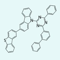 c1ccc(-c2cccc(-c3nc(-c4ccccc4)nc(-n4c5ccccc5c5cc(-c6ccc7sc8ccccc8c7c6)ccc54)n3)c2)cc1